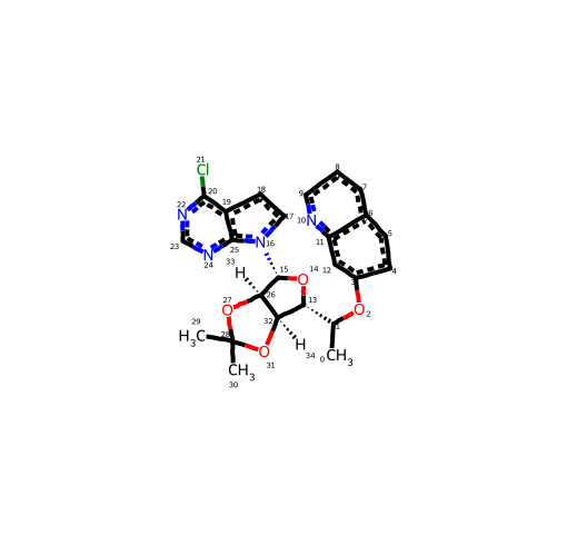 CC(Oc1ccc2cccnc2c1)[C@H]1O[C@@H](n2ccc3c(Cl)ncnc32)[C@@H]2OC(C)(C)O[C@@H]21